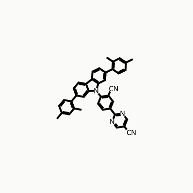 Cc1ccc(-c2ccc3c4ccc(-c5ccc(C)cc5C)cc4n(-c4ccc(-c5ncc(C#N)cn5)cc4C#N)c3c2)c(C)c1